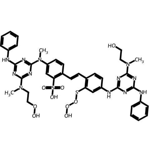 CN(CCO)c1nc(Nc2ccccc2)nc(Nc2ccc(/C=C/c3ccc(N(C)c4nc(Nc5ccccc5)nc(N(C)CCOO)n4)cc3S(=O)(=O)O)c(SOOO)c2)n1